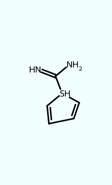 N=C(N)[SH]1C=CC=C1